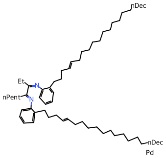 CCCCCCCCCCCCCCCCCCCCCC=CCCCc1ccccc1N=C(CC)C(CCCCC)=Nc1ccccc1CCCC=CCCCCCCCCCCCCCCCCCCCCC.[Pd]